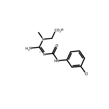 CN(CC(=O)O)/C(N)=N\C(=O)Nc1cccc(Cl)c1